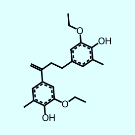 C=C(CCc1cc(C)c(O)c(OCC)c1)c1cc(C)c(O)c(OCC)c1